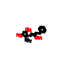 CCC[C@@H]1[C@@H](CC[C@@H](O)CCc2ccccc2)[C@H](O)C[C@@H]1O